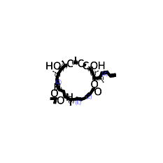 C=C/C=C\[C@H](C)[C@@H]1OC(=O)/C=C\C=C\[C@@H](C)[C@@H]2C[C@@H](/C=C\[C@H](C)[C@H](O)[C@@H](C)C[C@@H](C)CC[C@@H](O)[C@@H]1C)OC(C)(C)O2